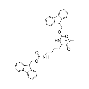 CNC(=O)C(CCCCNC(=O)OCC1c2ccccc2-c2ccccc21)NC(=O)OCC1c2ccccc2-c2ccccc21